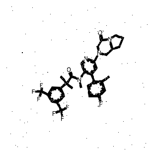 Cc1cc(F)ccc1-c1cc(N2CC(=O)N3CCCC3C2)ncc1N(C)C(=O)C(C)(C)c1cc(C(F)(F)F)cc(C(F)(F)F)c1